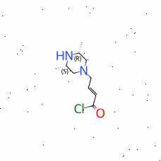 C[C@@H]1CN(CC=CC(=O)Cl)C[C@H](C)N1